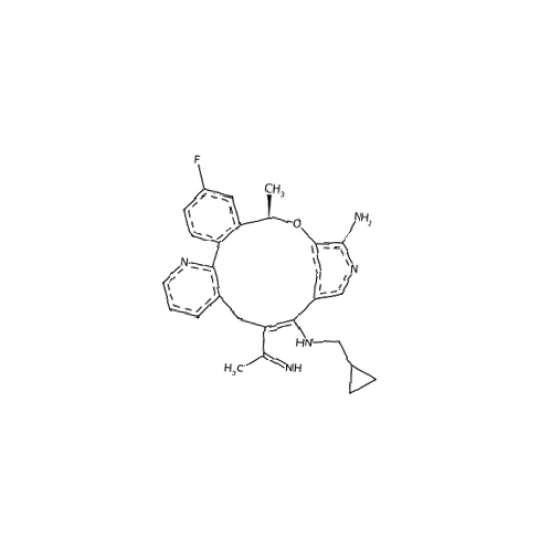 CC(=N)/C1=C(\NCC2CC2)c2cnc(N)c(c2)O[C@H](C)c2cc(F)ccc2-c2ncccc2C1